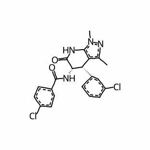 Cc1nn(C)c2c1[C@H](c1cccc(Cl)c1)[C@H](NC(=O)c1ccc(Cl)cc1)C(=O)N2